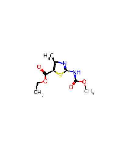 CCOC(=O)c1sc(NC(=O)OC)nc1C